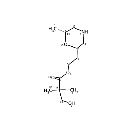 C[C@@H]1CNCC(CCOC(=O)C(C)(C)CO)O1